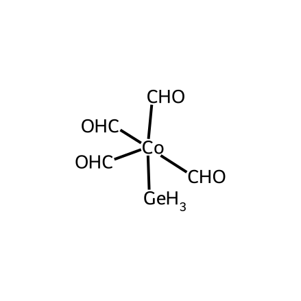 O=[CH][Co]([GeH3])([CH]=O)([CH]=O)[CH]=O